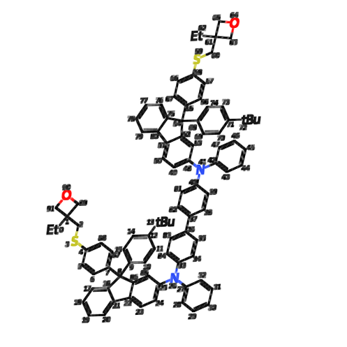 CCC1(CSc2ccc(C3(c4ccc(C(C)(C)C)cc4)c4ccccc4-c4ccc(N(c5ccccc5)c5ccc(-c6ccc(N(c7ccccc7)c7ccc8c(c7)C(c7ccc(SCC9(CC)COC9)cc7)(c7ccc(C(C)(C)C)cc7)c7ccccc7-8)cc6)cc5)cc43)cc2)COC1